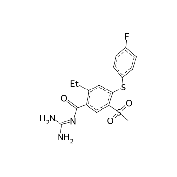 CCc1cc(Sc2ccc(F)cc2)c(S(C)(=O)=O)cc1C(=O)N=C(N)N